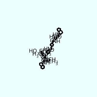 C[C@@H](C(=O)N[C@@H](Cc1ccc(NC(=O)c2ccc(C(=O)N[C@@H]3CN[C@H](C(=O)N[C@@H]4CCCc5ccccc54)C3)cc2)cc1)C(=O)N1C[Si](C)(C)C[C@H]1C(=O)N[C@@H]1CCCc2ccccc21)N(C)C(=O)O